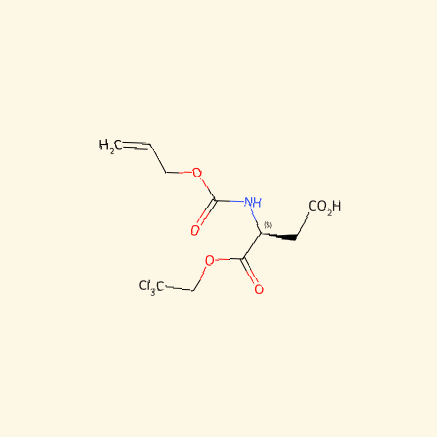 C=CCOC(=O)N[C@@H](CC(=O)O)C(=O)OCC(Cl)(Cl)Cl